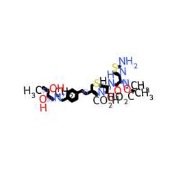 C=[N+](/C=C(O)\C(O)=C/C)Cc1ccc(/C=C/C2=C(C(=O)O)N3C(=O)[C@@H](NC(=O)/C(=N\OC(C)(C)C(=O)O)c4csc(N)n4)[C@H]3SC2)cc1